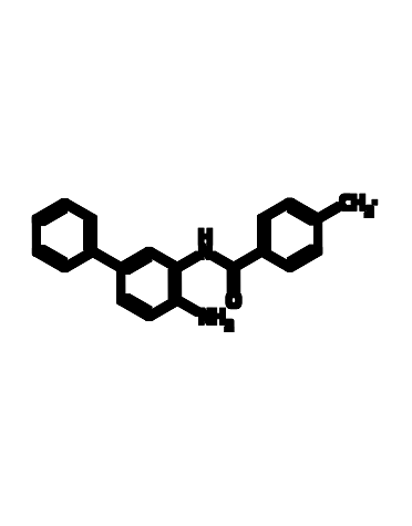 [CH2]c1ccc(C(=O)Nc2cc(-c3ccccc3)ccc2N)cc1